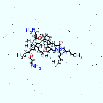 CCCCCN(CCCCC)C(=O)CC[C@@H](C)[C@H]1CC[C@@H](C)[C@]1(C)[C@H](C[C@@H](C)[C@@](C)(CC[C@H](CC)OCCCN)CC[C@H](C)OCCCN)OCCCN